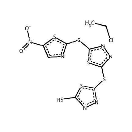 CCCl.O=[N+]([O-])c1cnc(Sc2nnc(Sc3nnc(S)s3)s2)s1